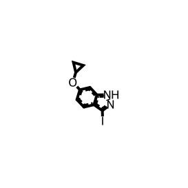 Ic1n[nH]c2cc(OC3CC3)ccc12